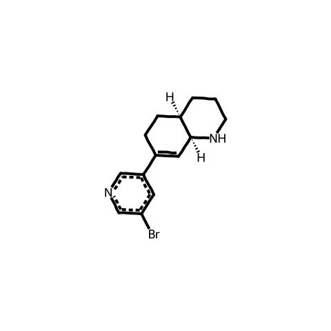 Brc1cncc(C2=C[C@@H]3NCCC[C@@H]3CC2)c1